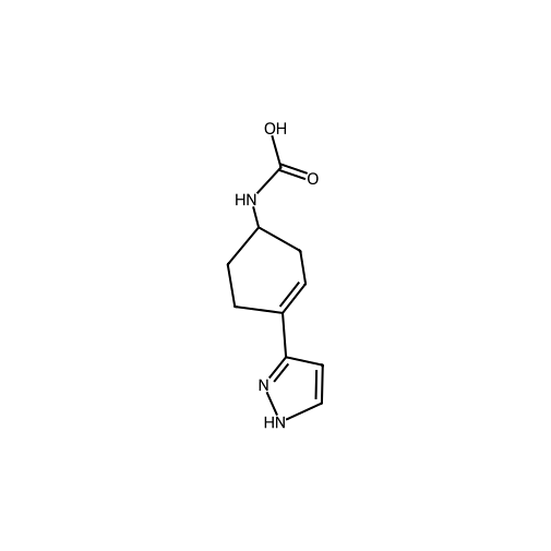 O=C(O)NC1CC=C(c2cc[nH]n2)CC1